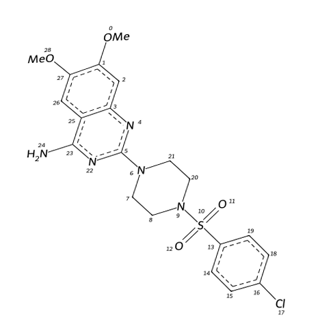 COc1cc2nc(N3CCN(S(=O)(=O)c4ccc(Cl)cc4)CC3)nc(N)c2cc1OC